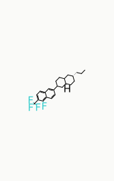 CCC[C@@H]1CC[C@@H]2CC(c3ccc4c(F)c(C(F)(F)F)ccc4c3)CCC2C1